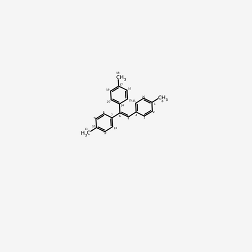 Cc1ccc(C=C(c2ccc(C)cc2)c2ccc(C)cc2)cc1